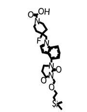 C[Si](C)(C)CCOCN1C(=O)CCN(c2cccc3c2ccn3CC2(F)CCN(C(=O)O)CC2)C1=O